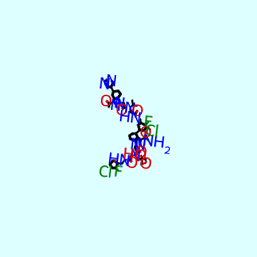 CC(=O)c1nn(CC(=O)N(CC(=O)NCc2cc(-c3cccc4c3c(C(N)=O)nn4CC(=O)N(CC(=O)NCc3cccc(Cl)c3F)CC3(O)COC3)cc(Cl)c2F)C(C)C)c2ccc(-c3cncnc3)cc12